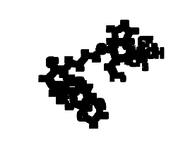 C/C=C\c1cc(C(O)(C(F)(F)F)C(F)(F)F)c2c(c1OCCCCN1C(=O)C=CC(CC)(c3ccc4c(c3)OCCO4)C1=O)CCC2